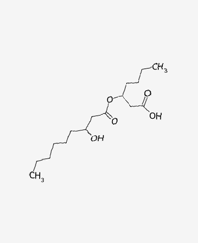 CCCCCCC(O)CC(=O)OC(CCCC)CC(=O)O